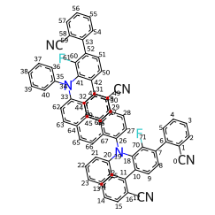 N#Cc1ccccc1-c1ccc(-c2ccccc2C#N)c(N(c2ccccc2)c2ccc3ccc4c(N(c5ccccc5)c5c(-c6ccccc6C#N)ccc(-c6ccccc6C#N)c5F)ccc5ccc2c3c54)c1F